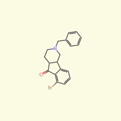 O=C1c2c(Br)cccc2C2CN(Cc3ccccc3)CCC12